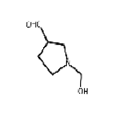 O=[C]C1CCN(CO)C1